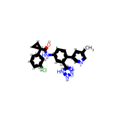 Cc1cncc(-c2ccc(NC(=O)C3(c4cccc(Cl)c4)CC3)cc2-c2nnn[nH]2)c1